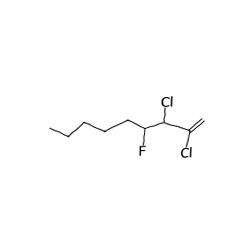 C=C(Cl)C(Cl)C(F)CCCCC